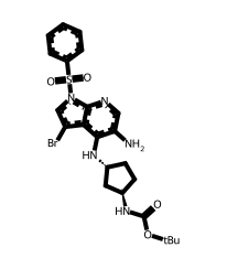 CC(C)(C)OC(=O)N[C@@H]1CC[C@@H](Nc2c(N)cnc3c2c(Br)cn3S(=O)(=O)c2ccccc2)C1